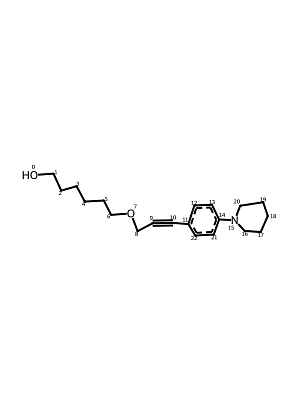 OCCCCCCOCC#Cc1ccc(N2CCCCC2)cc1